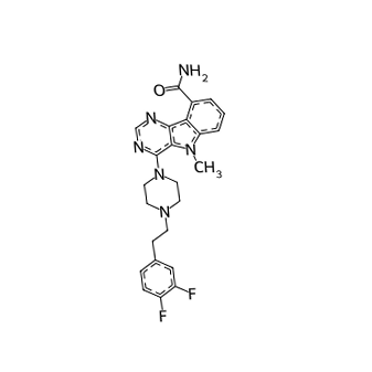 Cn1c2cccc(C(N)=O)c2c2ncnc(N3CCN(CCc4ccc(F)c(F)c4)CC3)c21